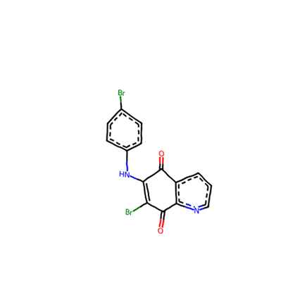 O=C1C(Nc2ccc(Br)cc2)=C(Br)C(=O)c2ncccc21